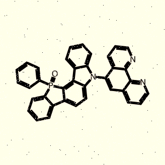 O=P1(c2ccccc2)c2ccccc2-c2ccc3c(c21)c1ccccc1n3-c1cc2cccnc2c2ncccc12